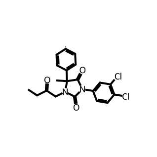 CCC(=O)CN1C(=O)N(c2ccc(Cl)c(Cl)c2)C(=O)C1(C)c1cc[c]cc1